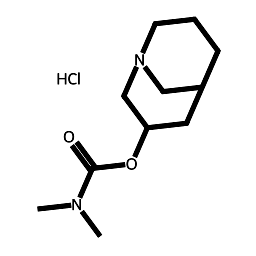 CN(C)C(=O)OC1CC2CCCN(C2)C1.Cl